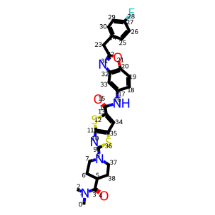 CN(C)C(=O)C1CCN(c2nc3sc(C(=O)Nc4ccc5oc(Cc6ccc(F)cc6)nc5c4)cc3s2)CC1